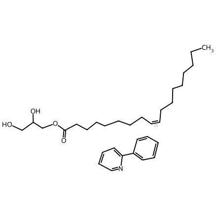 CCCCCCCC/C=C\CCCCCCCC(=O)OCC(O)CO.c1ccc(-c2ccccn2)cc1